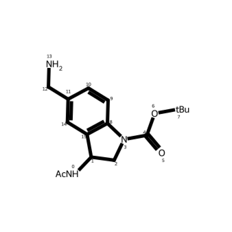 CC(=O)NC1CN(C(=O)OC(C)(C)C)c2ccc(CN)cc21